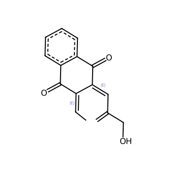 C=C(/C=C1/C(=O)c2ccccc2C(=O)/C1=C/C)CO